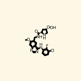 COc1cc2ncnc(Nc3cccc(Cl)c3F)c2cc1CNC(=O)[C@H]1C[C@@H](OO)CN1